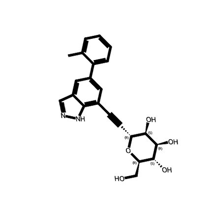 Cc1ccccc1-c1cc(C#C[C@H]2O[C@H](CO)[C@@H](O)[C@H](O)[C@@H]2O)c2[nH]ncc2c1